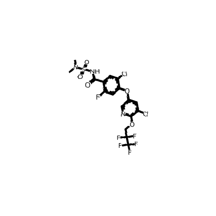 CN(C)S(=O)(=O)NC(=O)c1cc(Cl)c(Oc2cnc(OCC(F)(F)C(F)(F)F)c(Cl)c2)cc1F